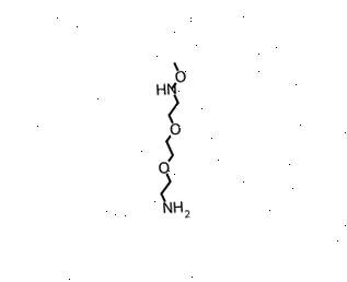 CONCCOCCOCCN